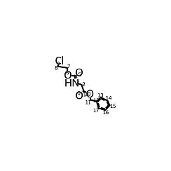 O=C(CNC(=O)OCCCl)OCc1ccccc1